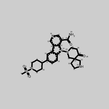 CS(=O)(=O)N1CCC(c2ccc3c(c2)c2cncc(C(N)=O)c2n3N2CCC(=O)C3(CCNC3)C2)CC1